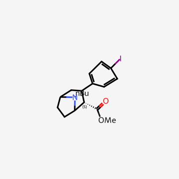 CCCCN1C2CCC1[C@@H](C(=O)OC)C(c1ccc(I)cc1)C2